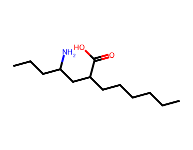 CCCCCCC(CC(N)CCC)C(=O)O